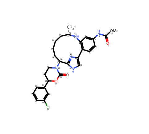 COC(=O)Nc1ccc2c(c1)N[C@@H](C(=O)O)CCCC[C@H](N1CCC(c3cccc(Cl)c3)OC1=O)c1nc-2c[nH]1